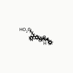 O=C(O)CCCCC=C(c1ccc(-c2nc(C(=O)N[C@@H]3C[C@H]3c3ccccc3)co2)cc1)c1cccnc1